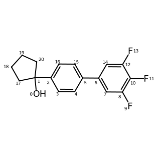 OC1(c2ccc(-c3cc(F)c(F)c(F)c3)cc2)CCCC1